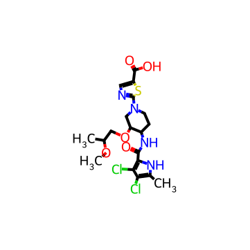 COC(C)COC1CN(c2ncc(C(=O)O)s2)CCC1NC(=O)c1[nH]c(C)c(Cl)c1Cl